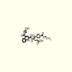 CCOC(=O)N1CCN(C(=O)[C@H](CCC(=O)O)NC(=O)c2cc(C(=O)N3CC(O)C3)c3ccccc3n2)CC1